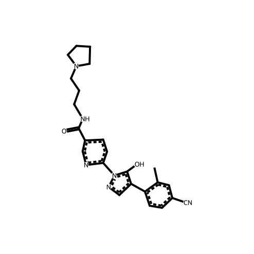 Cc1cc(C#N)ccc1-c1cnn(-c2ccc(C(=O)NCCCN3CCCC3)cn2)c1O